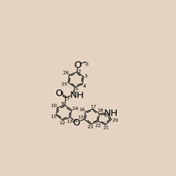 COc1ccc(NC(=O)c2cccc(Oc3ccc4[nH]ccc4c3)c2)cc1